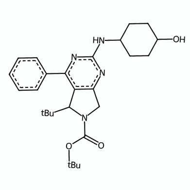 CC(C)(C)OC(=O)N1Cc2nc(NC3CCC(O)CC3)nc(-c3ccccc3)c2C1C(C)(C)C